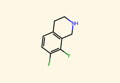 Fc1ccc2c(c1F)CNCC2